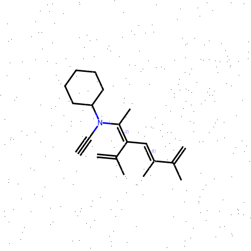 C#CN(/C(C)=C(/C=C(\C)C(=C)C)C(=C)C)C1CCCCC1